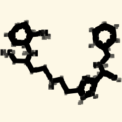 CCC(CCNCCc1nc(C(=O)NCc2ccccn2)no1)Nc1ccccc1N